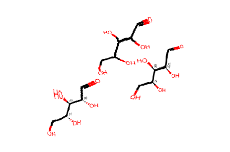 O=CC(O)C(O)C(O)CO.O=C[C@@H](O)[C@H](O)[C@@H](O)CO.O=C[C@H](O)[C@H](O)[C@H](O)CO